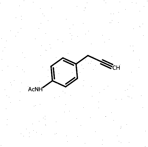 C#CCc1ccc(NC(C)=O)cc1